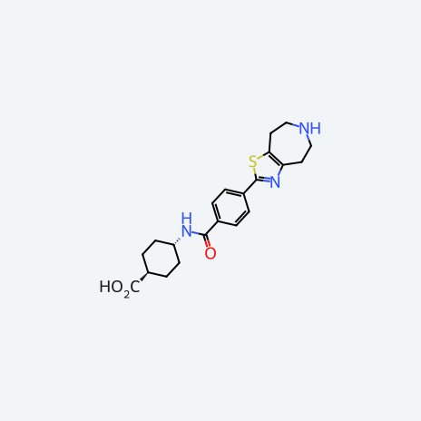 O=C(N[C@H]1CC[C@H](C(=O)O)CC1)c1ccc(-c2nc3c(s2)CCNCC3)cc1